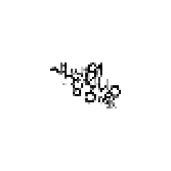 C=CCNC(=O)C(=O)C(CC1CCC1)NC(=O)[C@@H]1[C@H]2CCC3(CC3)[C@H]2CN1C(=O)[C@@H](NC(=O)NC1(CS(=O)(=O)C(C)(C)C)CCCCC1)C1CCCCC1